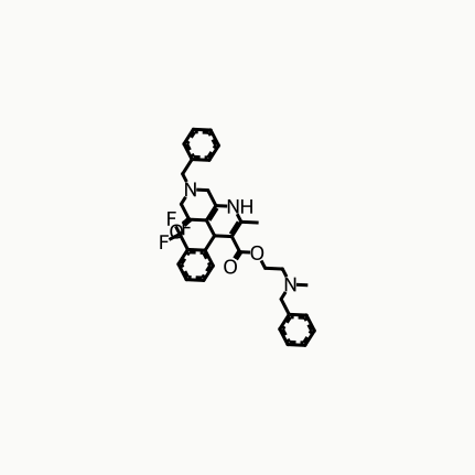 CC1=C(C(=O)OCCN(C)Cc2ccccc2)C(c2ccccc2C(F)(F)F)C2=C(CN(Cc3ccccc3)CC2=O)N1